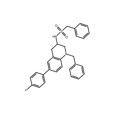 O=S(=O)(Cc1ccccc1)NC1Cc2cc(-c3ccc(F)cc3)ccc2N(Cc2ccccc2)C1